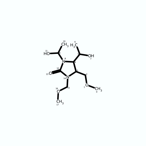 COCC1C(C(C)O)N(C(C)O)C(=O)N1COC